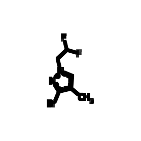 Cc1cn(CC(F)F)nc1Br